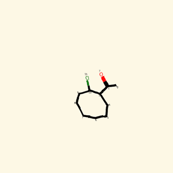 CC(=O)C1CCCCCCC1Cl